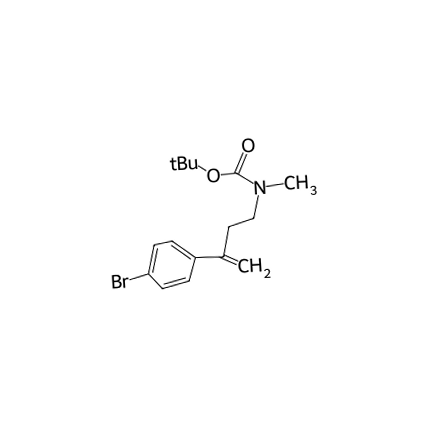 C=C(CCN(C)C(=O)OC(C)(C)C)c1ccc(Br)cc1